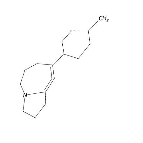 CC1CCC(C2=C=C3CCCN3CCC2)CC1